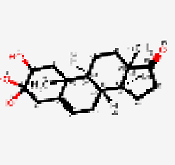 C[C@]12CC(O)C(O)(O)CC1=CC[C@@H]1[C@@H]2CC[C@]2(C)C(=O)CC[C@@H]12